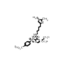 CCOC(=O)c1ccc(S(=O)(=O)Nc2nccnc2S(=O)(=O)NCCCCCc2cn(C)c(C)n2)cc1.O=C(O)CCC(=O)O